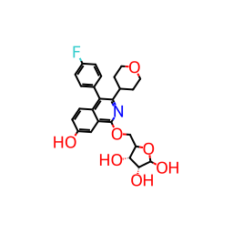 Oc1ccc2c(-c3ccc(F)cc3)c(C3CCOCC3)nc(OCC3OC(O)[C@H](O)[C@@H]3O)c2c1